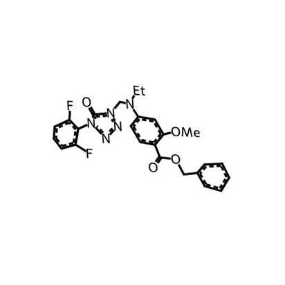 CCN(Cn1nnn(-c2c(F)cccc2F)c1=O)c1ccc(C(=O)OCc2ccccc2)c(OC)c1